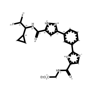 CCOC(=O)CNC(=O)c1cnc(-c2cccc(-c3cc(C(=O)NC(C(F)F)C4CC4)[nH]n3)c2)o1